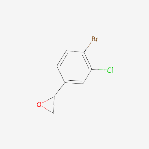 Clc1cc(C2CO2)ccc1Br